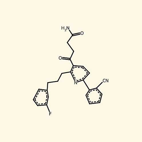 N#Cc1ccccc1-c1ccc(C(=O)CCC(N)=O)c(CCCc2cccc(F)c2)n1